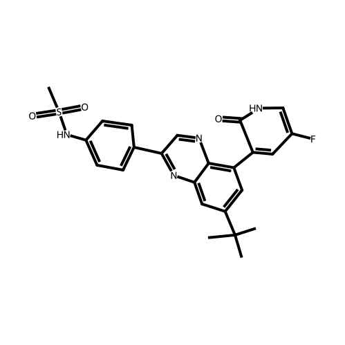 CC(C)(C)c1cc(-c2cc(F)c[nH]c2=O)c2ncc(-c3ccc(NS(C)(=O)=O)cc3)nc2c1